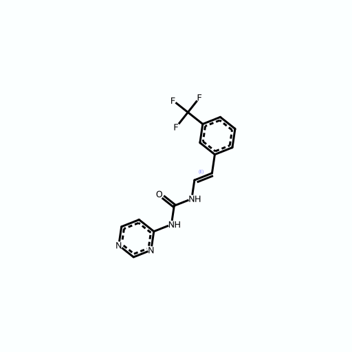 O=C(N/C=C/c1cccc(C(F)(F)F)c1)Nc1ccncn1